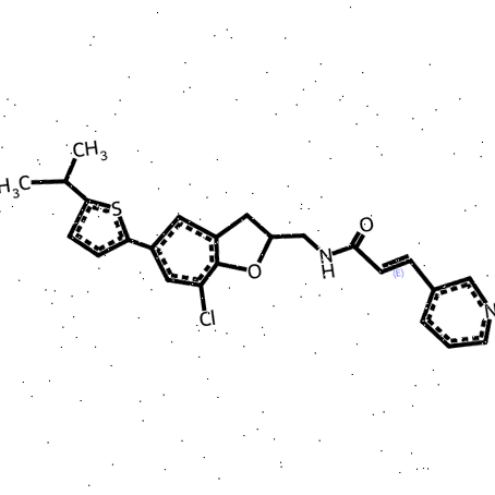 CC(C)c1ccc(-c2cc(Cl)c3c(c2)CC(CNC(=O)/C=C/c2cccnc2)O3)s1